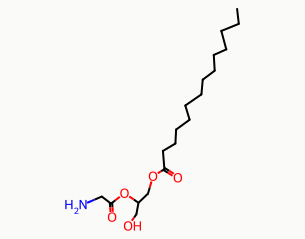 CCCCCCCCCCCCCC(=O)OCC(CO)OC(=O)CN